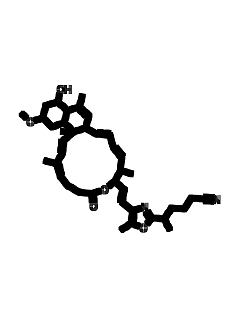 COC1CC(O)C2C(C)=CC3/C=C/C=C/C(C)C(/C=C/c4nc(C(C)CCCC#N)oc4C)OC(=O)CC/C=C(C)\C=C\C3(C)C2C1